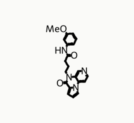 COc1cccc(NC(=O)CCCn2c(=O)c3cccn3c3ccncc32)c1